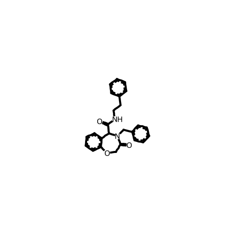 O=C(NCCc1ccccc1)C1c2ccccc2OCC(=O)N1Cc1ccccc1